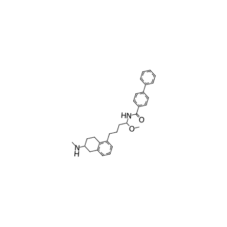 CNC1CCc2c(CCCC(NC(=O)c3ccc(-c4ccccc4)cc3)OC)cccc2C1